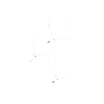 CCCCCCCCOP(=O)(OCCCCCCCC)OP(=O)([O-])O.CCCCCCCCOP(=O)(OCCCCCCCC)OP(=O)([O-])O.CCCCCCCCOP(=O)(OCCCCCCCC)OP(=O)([O-])O.C[CH-]C.[Ti+4]